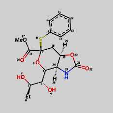 CC[C@@H](O)[C@@H](O)C1O[C@](Sc2ccccc2)(C(=O)OC)C[C@H]2OC(=O)N[C@@H]12